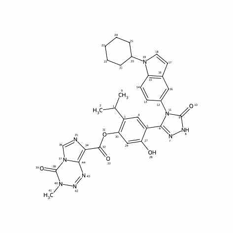 CC(C)c1cc(-c2n[nH]c(=O)n2-c2ccc3c(ccn3C3CCCCC3)c2)c(O)cc1OC(=O)c1ncn2c(=O)n(C)nnc12